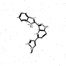 Cn1cc(-c2ccc3[nH]nc(-c4nc5ccccc5[nH]4)c3n2)cn1